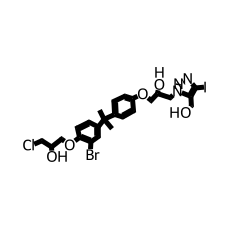 CC(C)(c1ccc(OCC(O)Cn2nnc(I)c2CO)cc1)c1ccc(OCC(O)CCl)c(Br)c1